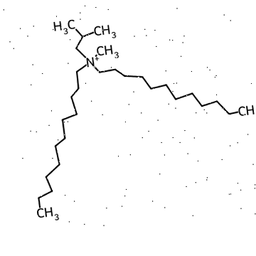 CCCCCCCCCCCC[N+](C)(CCCCCCCCCCCC)CC(C)C